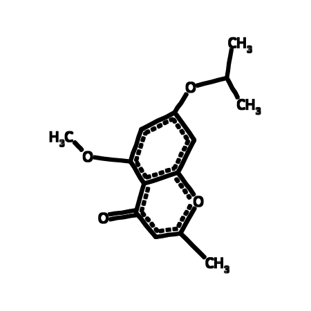 COc1cc(OC(C)C)cc2oc(C)cc(=O)c12